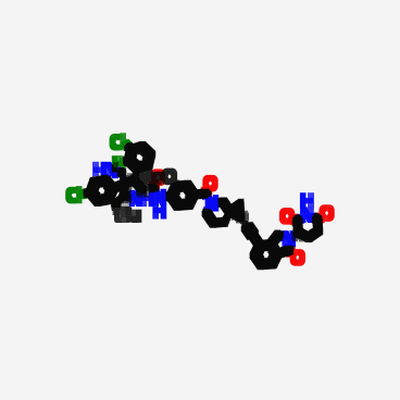 COc1cc(C(=O)N2CCC[C@]3(C[C@@H]3C#Cc3cccc4c3CN([C@@H]3CCC(=O)NC3=O)C4=O)C2)ccc1NC(=O)[C@@H]1N[C@@H](CC(C)(C)C)[C@@]2(CNc3cc(Cl)ccc32)[C@H]1c1cccc(Cl)c1F